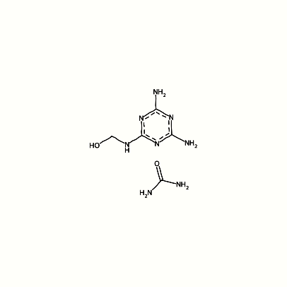 NC(N)=O.Nc1nc(N)nc(NCO)n1